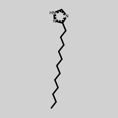 CCCCCCCCCCCCc1nc[nH]n1